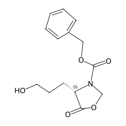 O=C1OCN(C(=O)OCc2ccccc2)[C@H]1CCCO